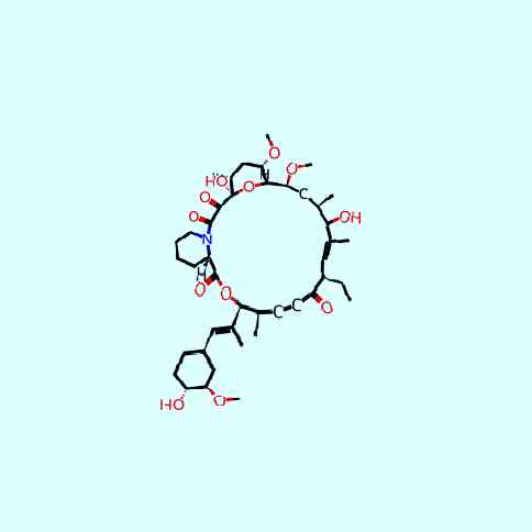 CC[C@@H]1/C=C(\C)C(O)[C@H](C)C[C@H](OC)[C@H]2O[C@@](O)(C(=O)C(=O)N3CCCC[C@H]3C(=O)O[C@H](/C(C)=C/[C@@H]3CC[C@@H](O)[C@H](OC)C3)[C@H](C)CCC1=O)[C@H](C)C[C@@H]2OC